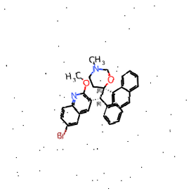 COc1nc2ccc(Br)cc2cc1[C@@H](c1ccccc1)[C@@]1(c2cccc3ccccc23)CCN(C)CO1